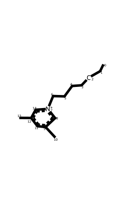 CCCCCCC[n+]1cc(C)cc(C)c1